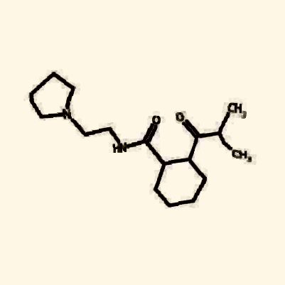 CC(C)C(=O)C1CCCCC1C(=O)NCCN1CCCC1